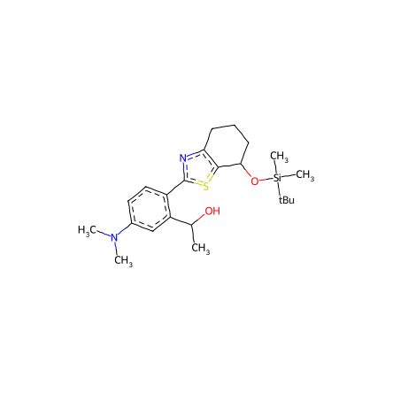 CC(O)c1cc(N(C)C)ccc1-c1nc2c(s1)C(O[Si](C)(C)C(C)(C)C)CCC2